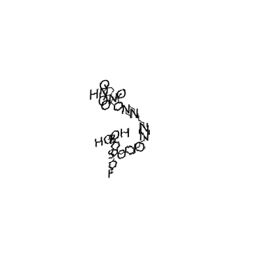 O=C1CCC(N2C(=O)c3ccc(N4CCN(CCCN5CCN(CCOc6ccc(Oc7c(-c8ccc(F)cc8)sc8cc(B(O)O)ccc78)cc6)CC5)CC4)cc3C2=O)C(=O)N1